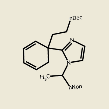 CCCCCCCCCCCCC1(c2nccn2C(C)CCCCCCCCC)C=CC=CC1